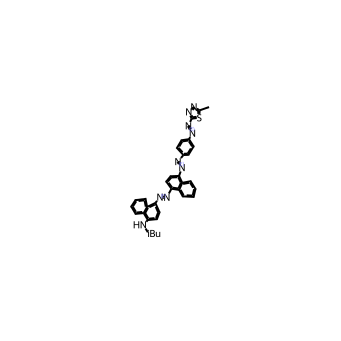 CCC(C)Nc1ccc(/N=N/c2ccc(/N=N/c3ccc(/N=N/c4nnc(C)s4)cc3)c3ccccc23)c2ccccc12